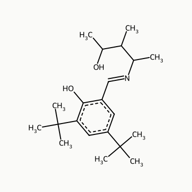 CC(O)C(C)C(C)N=Cc1cc(C(C)(C)C)cc(C(C)(C)C)c1O